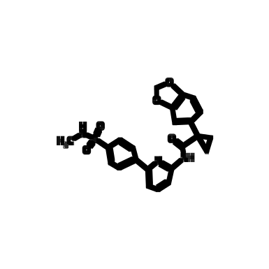 CNS(=O)(=O)c1ccc(-c2cccc(NC(=O)C3(c4ccc5c(c4)OCO5)CC3)n2)cc1